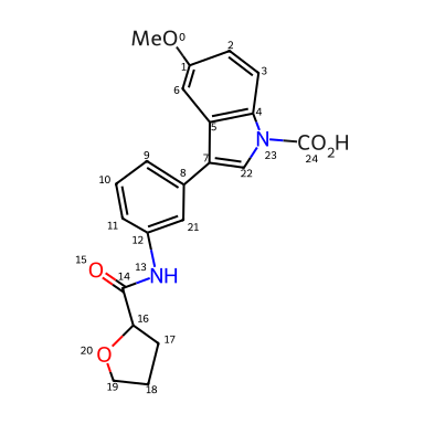 COc1ccc2c(c1)c(-c1cccc(NC(=O)C3CCCO3)c1)cn2C(=O)O